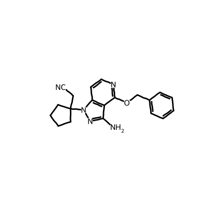 N#CCC1(n2nc(N)c3c(OCc4ccccc4)nccc32)CCCC1